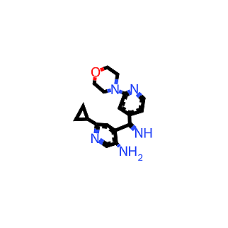 N=C(c1ccnc(N2CCOCC2)c1)c1cc(C2CC2)ncc1N